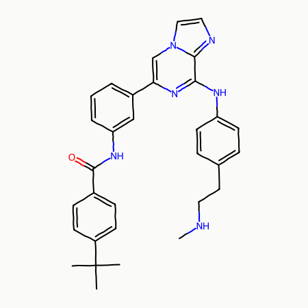 CNCCc1ccc(Nc2nc(-c3cccc(NC(=O)c4ccc(C(C)(C)C)cc4)c3)cn3ccnc23)cc1